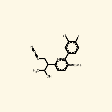 COc1ccc(C(CN=[N+]=[N-])C(C)O)nc1-c1ccc(F)c(Cl)c1